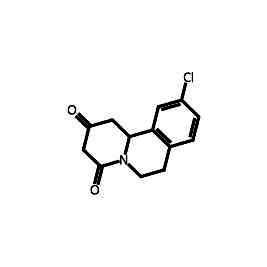 O=C1CC(=O)N2CCc3ccc(Cl)cc3C2C1